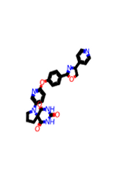 O=C1NC(=O)C2(CCCN2c2ccc(Oc3ccc(C4=NC(c5ccncc5)CO4)cc3)nc2)C(=O)N1